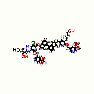 CC(CO)(NCc1cc(Cl)c(O[C@H]2CCc3c(-c4cccc5c4CC[C@@H]5Oc4nc(OCc5cncc(S(C)(=O)=O)c5)c(CNCCO)cc4Cl)cccc32)nc1OCc1cncc(S(C)(=O)=O)c1)C(=O)O